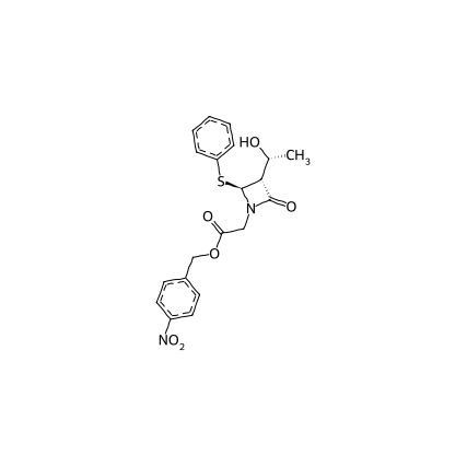 C[C@@H](O)[C@@H]1C(=O)N(CC(=O)OCc2ccc([N+](=O)[O-])cc2)[C@H]1Sc1ccccc1